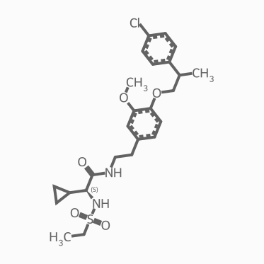 CCS(=O)(=O)N[C@H](C(=O)NCCc1ccc(OCC(C)c2ccc(Cl)cc2)c(OC)c1)C1CC1